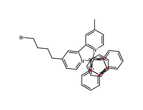 Cc1cc[n+]2c(c1)-c1cc(CCCCBr)cc[n+]1[Ru]213([n+]2ccccc2-c2cccc[n+]21)[n+]1ccccc1-c1cccc[n+]13